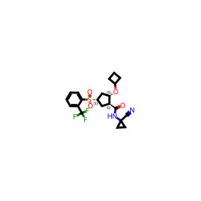 N#CC1(NC(=O)[C@H]2C[C@H](S(=O)(=O)c3ccccc3C(F)(F)F)C[C@@H]2OC2CCC2)CC1